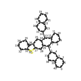 c1ccc2cc(-c3c4ccccc4c(-c4ccc5ccccc5c4)c4cc5c(cc34)sc3ccccc35)ccc2c1